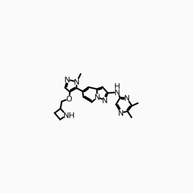 Cc1ncc(Nc2cc3cc(-c4c(OCC5CCN5)cnn4C)ccn3n2)nc1C